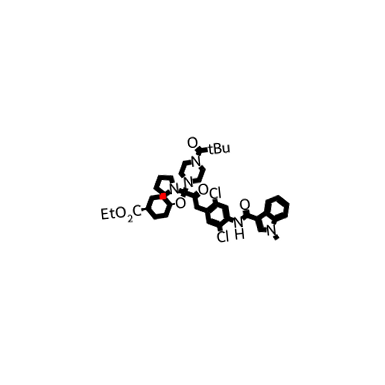 CCOC(=O)[C@H]1CC[C@H](OC(C(=O)Cc2cc(Cl)c(NC(=O)c3cn(C)c4ccccc34)cc2Cl)(N2CCCC2)N2CCN(C(=O)C(C)(C)C)CC2)CC1